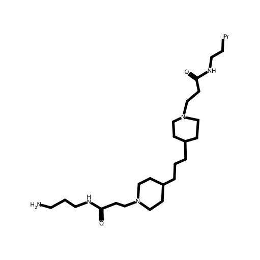 CC(C)CCNC(=O)CCN1CCC(CCCC2CCN(CCC(=O)NCCCN)CC2)CC1